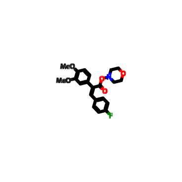 COc1ccc(C(=Cc2ccc(F)cc2)C(=O)ON2CCOCC2)cc1OC